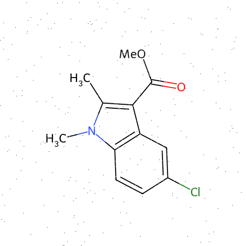 COC(=O)c1c(C)n(C)c2ccc(Cl)cc12